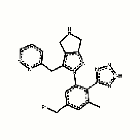 Cc1cc(CC(C)C)cc(-n2nc3c(c2Cc2cccnn2)CNC3)c1-c1nn[nH]n1